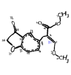 CO/C=C(/C(=O)OC)c1ccc2c(c1)C(=O)CO2